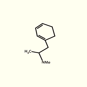 CNC(C)CC1=CC=CCC1